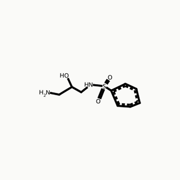 NCC(O)CNS(=O)(=O)c1ccccc1